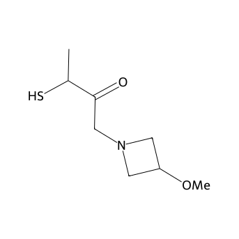 COC1CN(CC(=O)C(C)S)C1